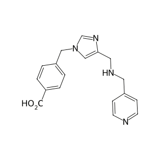 O=C(O)c1ccc(Cn2cnc(CNCc3ccncc3)c2)cc1